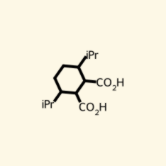 CC(C)C1CCC(C(C)C)C(C(=O)O)C1C(=O)O